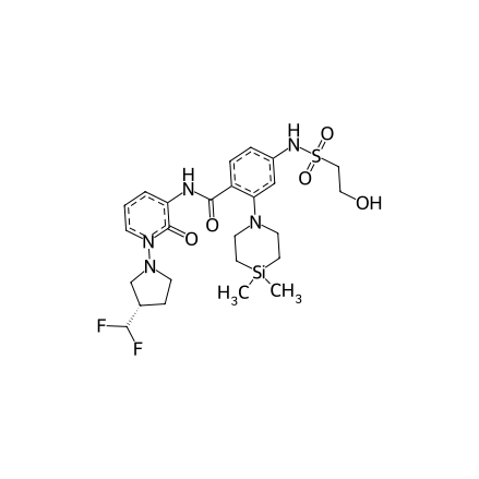 C[Si]1(C)CCN(c2cc(NS(=O)(=O)CCO)ccc2C(=O)Nc2cccn(N3CC[C@H](C(F)F)C3)c2=O)CC1